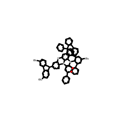 CC(C)(C)c1ccc2c(c1)-c1cc(C(C)(C)C)ccc1C2c1ccc2c(c1)Oc1cc(C3(c4ccccc4)c4ccccc4-c4ccccc43)cc3c1B2c1cc(-c2ccccc2)ccc1N3c1c(-c2ccccc2)cc(C(C)(C)C)cc1-c1ccccc1